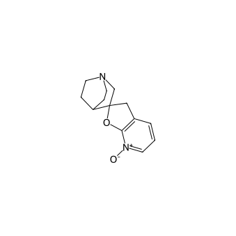 [O-][n+]1cccc2c1OC1(C2)CN2CCC1CC2